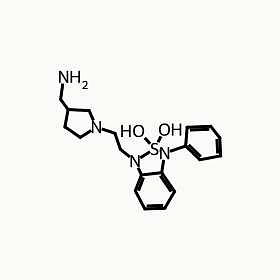 NCC1CCN(CCN2c3ccccc3N(c3ccccc3)S2(O)O)C1